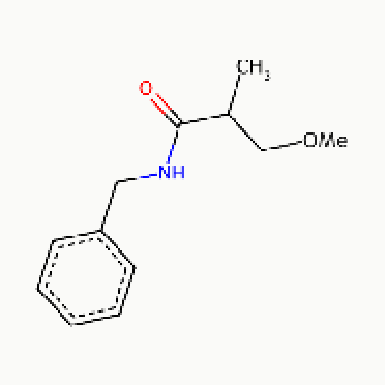 COCC(C)C(=O)NCc1ccccc1